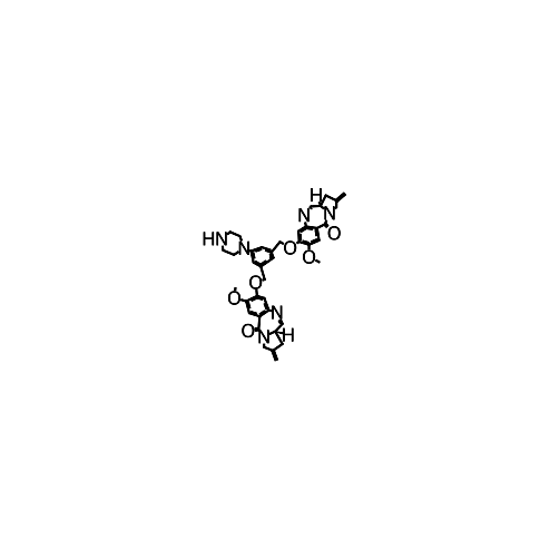 C=C1C[C@H]2C=Nc3cc(OCc4cc(COc5cc6c(cc5OC)C(=O)N5CC(=C)C[C@H]5C=N6)cc(N5CCNCC5)c4)c(OC)cc3C(=O)N2C1